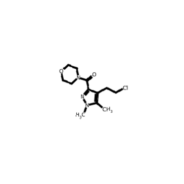 Cc1c(CCCl)c(C(=O)N2CCOCC2)nn1C